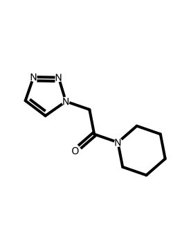 O=C(Cn1ccnn1)N1CCCCC1